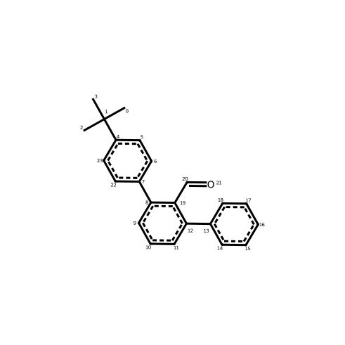 CC(C)(C)c1ccc(-c2cccc(-c3ccccc3)c2C=O)cc1